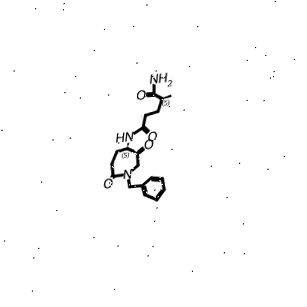 C[C@@H](C[CH]C(=O)N[C@H]1CCC(=O)N(Cc2ccccc2)CC1=O)C(N)=O